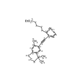 CCOC(=O)CCCCc1nccnc1C#Cc1cc2c(cc1C)SCCC2(C)C